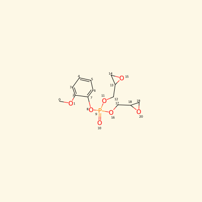 COc1ccccc1OP(=O)(OCC1CO1)OCC1CO1